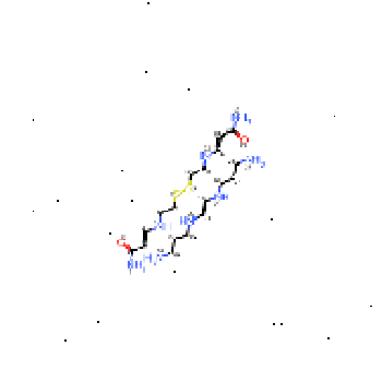 NC(=O)C=CNCCSSCCNC=CC(N)=O.NCCCNCCNCCCN